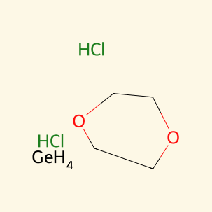 C1COCCO1.Cl.Cl.[GeH4]